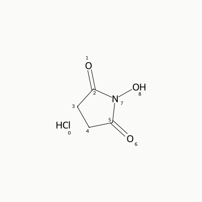 Cl.O=C1CCC(=O)N1O